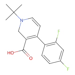 CC(C)(C)N1C=CC(c2ccc(F)cc2F)=C(C(=O)O)C1